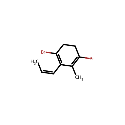 C/C=C\C1=C(Br)CCC(Br)=C1C